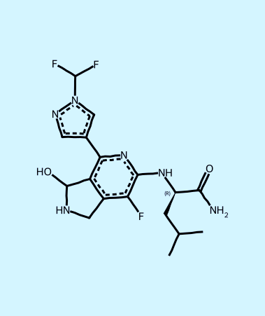 CC(C)C[C@@H](Nc1nc(-c2cnn(C(F)F)c2)c2c(c1F)CNC2O)C(N)=O